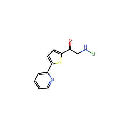 O=C(CNCl)c1ccc(-c2ccccn2)s1